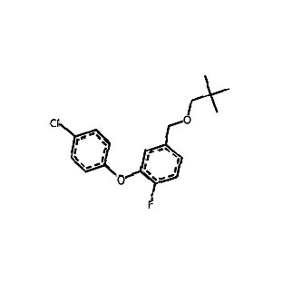 CC(C)(C)COCc1ccc(F)c(Oc2ccc(Cl)cc2)c1